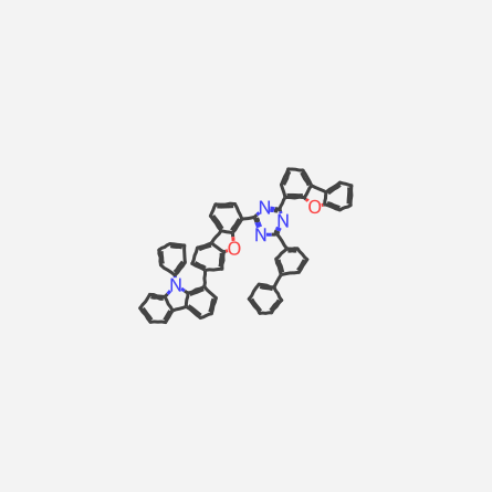 c1ccc(-c2cccc(-c3nc(-c4cccc5c4oc4ccccc45)nc(-c4cccc5c4oc4cc(-c6cccc7c8ccccc8n(-c8ccccc8)c67)ccc45)n3)c2)cc1